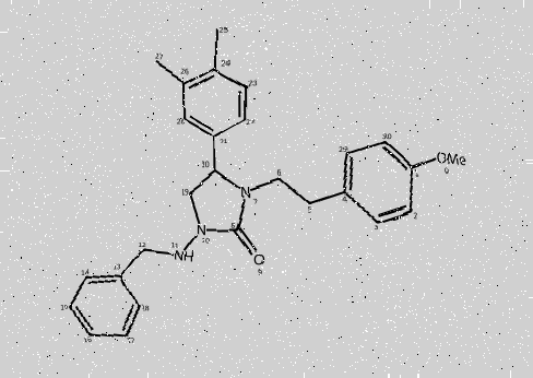 COc1ccc(CCN2C(=O)N(NCc3ccccc3)CC2c2ccc(C)c(C)c2)cc1